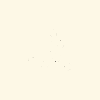 c1ccc(-c2nc3c(-c4cccc5c4sc4ccccc45)ccc(-c4cccc5c4sc4ccccc45)c3s2)cc1